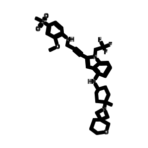 COc1cc(S(C)(=O)=O)ccc1NCC#Cc1cc2c(NC3CCC(C)(N4CC5(CCCOC5)C4)CC3)cccc2n1CC(F)(F)F